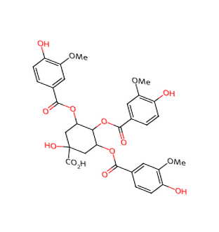 COc1cc(C(=O)OC2CC(O)(C(=O)O)CC(OC(=O)c3ccc(O)c(OC)c3)C2OC(=O)c2ccc(O)c(OC)c2)ccc1O